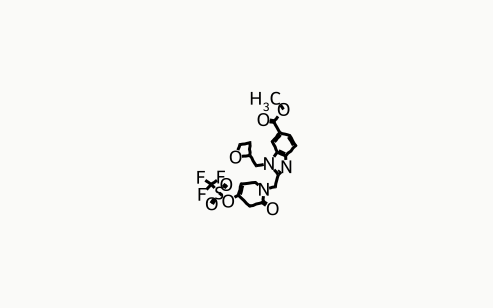 COC(=O)c1ccc2nc(CN3CC=C(OS(=O)(=O)C(F)(F)F)CC3=O)n(CC3CCO3)c2c1